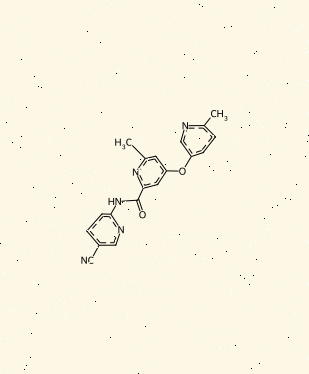 Cc1ccc(Oc2cc(C)nc(C(=O)Nc3ccc(C#N)cn3)c2)cn1